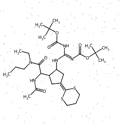 CCCN(CC)C(=O)C(NC(C)=O)C1CC(=C2SCCCS2)CC1NC(=NC(=O)OC(C)(C)C)NC(=O)OC(C)(C)C